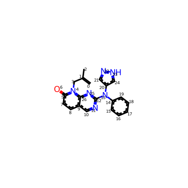 C=C(C)Cn1c(=O)ccc2cnc(N(c3ccccc3)c3cn[nH]c3)nc21